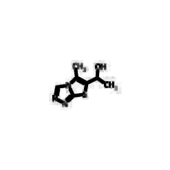 Cc1c(C(C)O)sc2nncn12